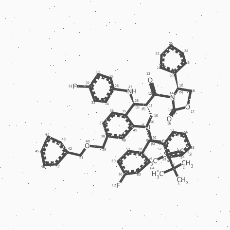 CC(C)(C)[Si](C)(C)O[C@@H](CC[C@@H](C(=O)N1C(=O)OC[C@@H]1c1ccccc1)[C@H](Nc1ccc(F)cc1)c1ccc(COCc2ccccc2)cc1OCc1ccccc1)c1ccc(F)cc1